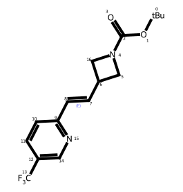 CC(C)(C)OC(=O)N1CC(/C=C/c2ccc(C(F)(F)F)cn2)C1